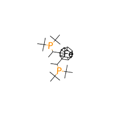 CC(P(C(C)(C)C)C(C)(C)C)[C]12[CH]3[CH]4[CH]5[C]1(C(C)P(C(C)(C)C)C(C)(C)C)[Fe]43521678[CH]2[CH]1[CH]6[CH]7[CH]28